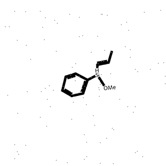 CC=C[SiH](OC)c1ccccc1